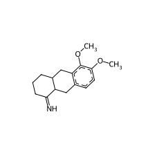 COc1ccc2c(c1OC)CC1CCCC(=N)C1C2